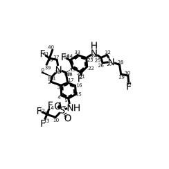 C[C@@H]1Cc2cc(NS(=O)(=O)CC(F)(F)F)ccc2[C@@H](c2c(F)cc(NC3CN(CCCF)C3)cc2F)N1CC(C)(C)F